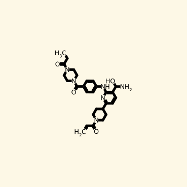 C=CC(=O)N1CCC(c2ccc(C(N)O)c(Nc3ccc(C(=O)N4CCN(C(=O)CC)CC4)cc3)n2)CC1